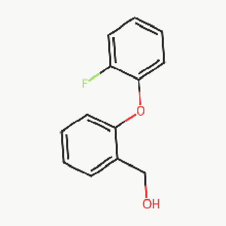 OCc1ccccc1Oc1ccccc1F